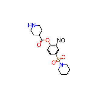 O=Nc1cc(S(=O)(=O)N2CCCCC2)ccc1OC(=O)C1CCNCC1